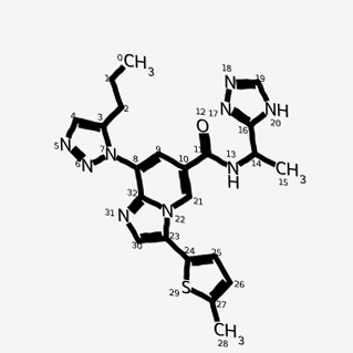 CCCc1cnnn1-c1cc(C(=O)NC(C)c2nnc[nH]2)cn2c(-c3ccc(C)s3)cnc12